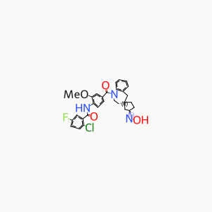 COc1cc(C(=O)N2CC[C@@]3(CC/C(=N\O)C3)Cc3ccccc32)ccc1NC(=O)c1cc(F)ccc1Cl